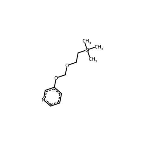 C[Si](C)(C)CCOCOc1cccnc1